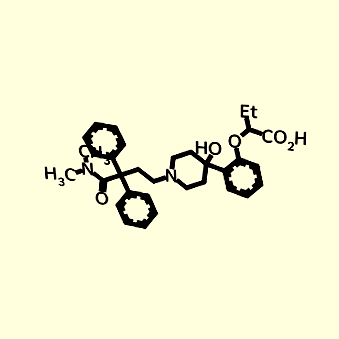 CCC(Oc1ccccc1C1(O)CCN(CCC(C(=O)N(C)C)(c2ccccc2)c2ccccc2)CC1)C(=O)O